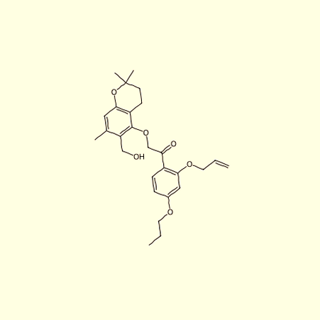 C=CCOc1cc(OCCC)ccc1C(=O)COc1c(CO)c(C)cc2c1CCC(C)(C)O2